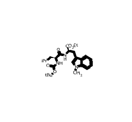 CCOC(=O)[C@@H](Cc1cn(C)c2ccccc12)NC(=O)[C@H](CC(C)C)NC(=O)OC(C)(C)C